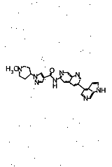 CN1CCC(n2cc(C(=O)Nc3cc4cc(-c5cncc6[nH]ccc56)cnc4cn3)cn2)CC1